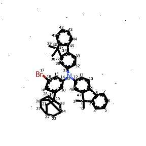 CC1(C)c2ccccc2-c2ccc(N(c3cc(Br)cc(C45CC6CC(CC(C6)C4)C5)c3)c3ccc4c(c3)C(C)(C)c3ccccc3-4)cc21